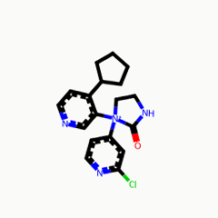 O=C1NCC[N+]1(c1ccnc(Cl)c1)c1cnccc1C1CCCC1